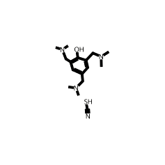 CN(C)Cc1cc(CN(C)C)c(O)c(CN(C)C)c1.N#CS